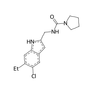 CCc1cc2[nH]c(CNC(=O)N3CCCC3)cc2cc1Cl